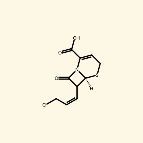 O=C(O)C1=CCS[C@H]2C(/C=C\CCl)C(=O)N12